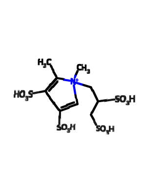 CC1=C(S(=O)(=O)O)C(S(=O)(=O)O)=C[N+]1(C)CC(CS(=O)(=O)O)S(=O)(=O)O